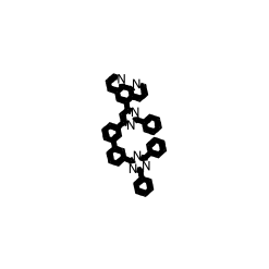 c1ccc(-c2nc(-c3cccc(-c4cccc(-c5nc(-c6ccccc6)nc(-c6ccccc6)n5)c4)c3)cc(-c3cc4cccnc4c4ncccc34)n2)cc1